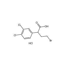 Cl.O=C(O)C(CCBr)c1ccc(Cl)c(Cl)c1